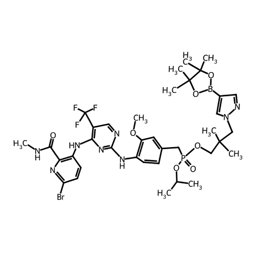 CNC(=O)c1nc(Br)ccc1Nc1nc(Nc2ccc(CP(=O)(OCC(C)(C)Cn3cc(B4OC(C)(C)C(C)(C)O4)cn3)OC(C)C)cc2OC)ncc1C(F)(F)F